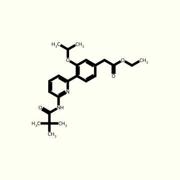 CCOC(=O)Cc1ccc(-c2cccc(NC(=O)C(C)(C)C)n2)c(OC(C)C)c1